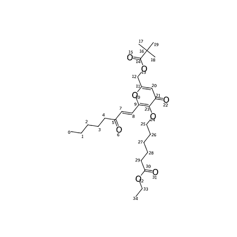 CCCCCC(=O)C=Cc1oc(COC(=O)C(C)(C)C)cc(=O)c1OCCCCCC(=O)OCC